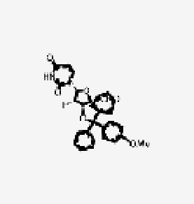 COc1ccc(C(O[C@H]2[C@H](F)[C@H](n3ccc(=O)[nH]c3=O)O[C@@H]2C=O)(c2ccccc2)c2ccccc2)cc1